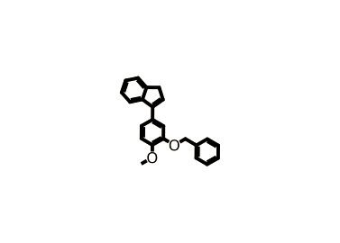 COc1ccc(C2=CCc3ccccc32)cc1OCc1ccccc1